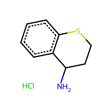 Cl.NC1CCSc2ccccc21